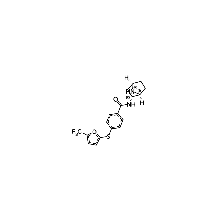 O=C(N[C@@H]1C[C@H]2CC[C@@H]1N2)c1ccc(Sc2ccc(C(F)(F)F)o2)cc1